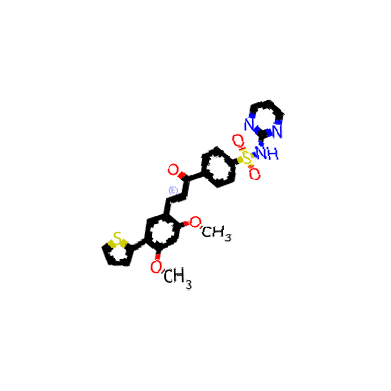 COc1cc(OC)c(-c2cccs2)cc1/C=C/C(=O)c1ccc(S(=O)(=O)Nc2ncccn2)cc1